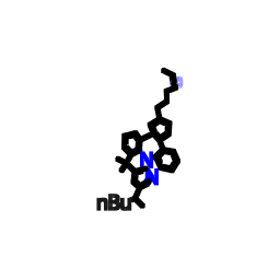 C/C=C\CCCc1ccc2c(c1)-c1cccc3c1N(c1ccccc1-2)c1ncc(C(C)CCCC)cc1C3(C)C